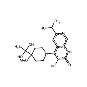 BC(O)(O)C1(OC)CCN(c2c(C#N)c(=O)[nH]c3cnc(C(C)O)cc23)CC1